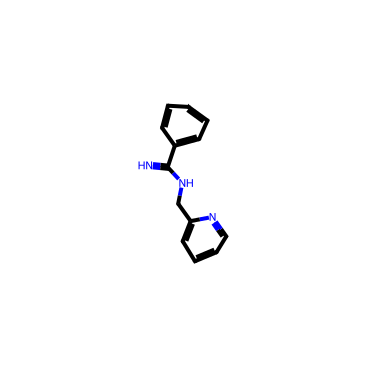 N=C(NCc1ccccn1)c1cc[c]cc1